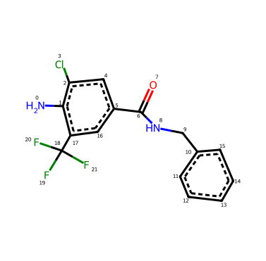 Nc1c(Cl)cc(C(=O)NCc2ccccc2)cc1C(F)(F)F